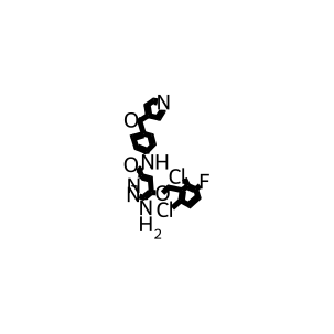 Nc1nnc(C(=O)Nc2ccc(C(=O)c3ccncc3)cc2)cc1OCc1c(Cl)ccc(F)c1Cl